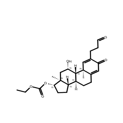 CCOC(=O)O[C@H]1CC[C@H]2[C@@H]3CCC4=CC(=O)C(CCC=O)=C[C@]4(C)[C@H]3[C@@H](O)C[C@]12C